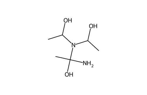 CC(O)N(C(C)O)C(C)(N)O